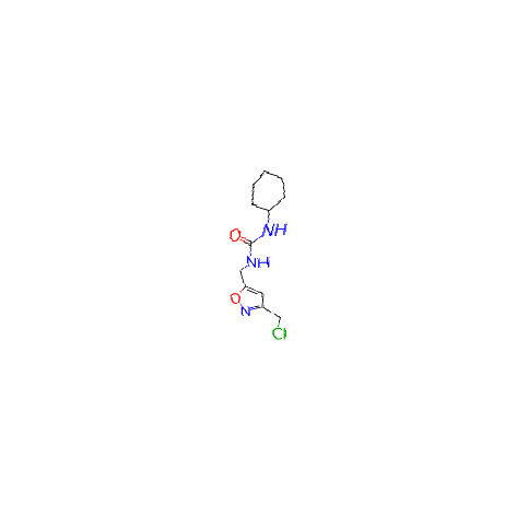 O=C(NCc1cc(CCl)no1)NC1CCCCC1